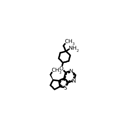 CC[C@@H]1CCc2sc3ncnc(OC4CCC(N)(CC)CC4)c3c21